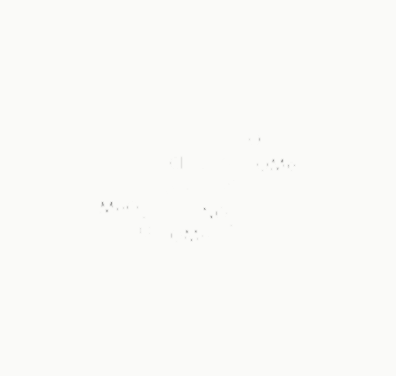 COC(=O)c1ccc(-c2c(Cl)cc(C(=O)OC)c(OC)c2[N+](=O)[O-])cc1